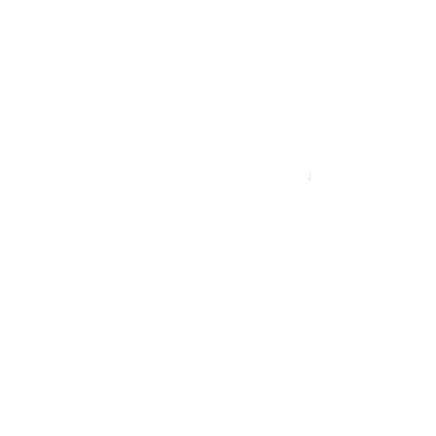 SSc1csc(-c2ccccc2)c1-c1ccccc1